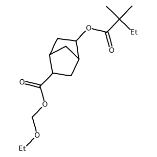 CCOCOC(=O)C1CC2CC1CC2OC(=O)C(C)(C)CC